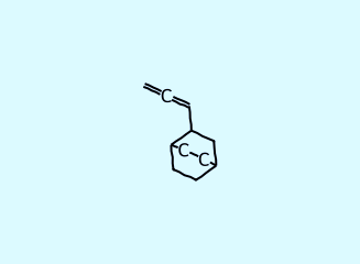 C=C=CC1CC2CCC1CC2